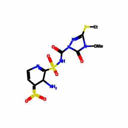 CCSc1nn(C(=O)NS(=O)(=O)C2=NC=CC(=S(=O)=O)C2N)c(=O)n1OC